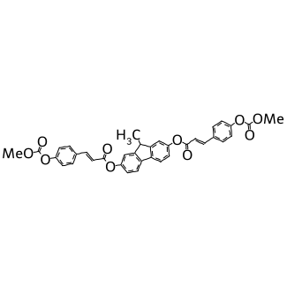 COC(=O)Oc1ccc(C=CC(=O)Oc2ccc3c(c2)C(C)c2cc(OC(=O)C=Cc4ccc(OC(=O)OC)cc4)ccc2-3)cc1